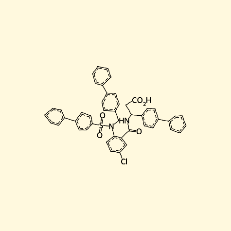 O=C(O)CC(NC(=O)c1cc(Cl)ccc1N(Cc1ccc(-c2ccccc2)cc1)S(=O)(=O)c1ccc(-c2ccccc2)cc1)c1ccc(-c2ccccc2)cc1